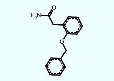 NC(=O)Cc1ccccc1OCc1ccccc1